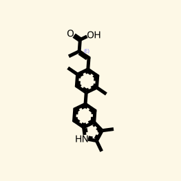 C/C(=C\c1cc(C)c(-c2ccc3[nH]c(C)c(C)c3c2)cc1C)C(=O)O